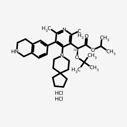 Cc1nc(C)c([C@H](OC(C)(C)C)C(=O)OC(C)C)c(N2CCC3(CCCC3)CC2)c1-c1ccc2c(c1)CCNC2.Cl.Cl